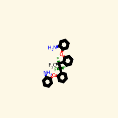 Nc1ccccc1Oc1ccccc1C(F)(F)C(F)(c1ccccc1Oc1ccccc1N)C(F)(F)F